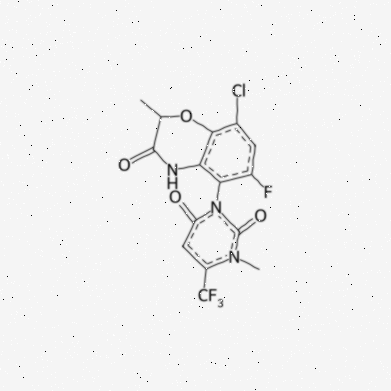 CC1Oc2c(Cl)cc(F)c(-n3c(=O)cc(C(F)(F)F)n(C)c3=O)c2NC1=O